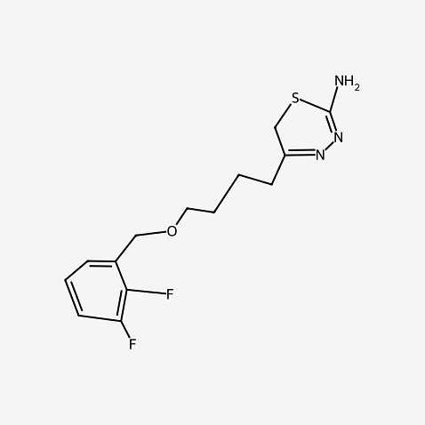 NC1=NN=C(CCCCOCc2cccc(F)c2F)CS1